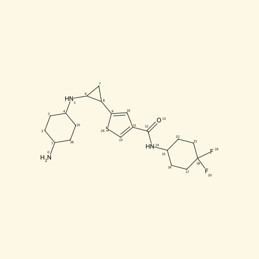 NC1CCC(NC2CC2c2cc(C(=O)NC3CCC(F)(F)CC3)cs2)CC1